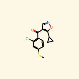 CSc1ccc(C(=O)c2cnoc2C2CC2)c(Cl)c1